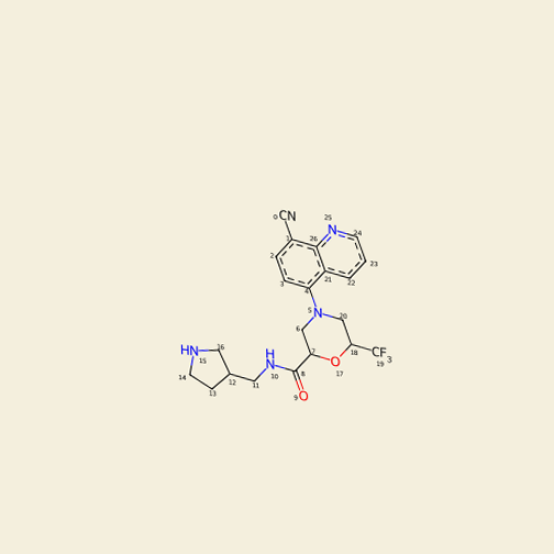 N#Cc1ccc(N2CC(C(=O)NCC3CCNC3)OC(C(F)(F)F)C2)c2cccnc12